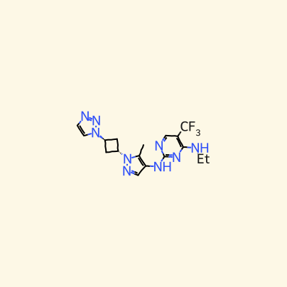 CCNc1nc(Nc2cnn([C@H]3C[C@H](n4ccnn4)C3)c2C)ncc1C(F)(F)F